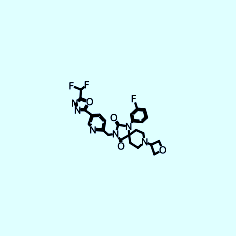 O=C1N(Cc2ccc(-c3nnc(C(F)F)o3)cn2)C(=O)C2(CCN(C3COC3)CC2)N1c1cccc(F)c1